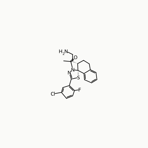 CC(=O)N1N=C(c2cc(Cl)ccc2F)S[C@]12c1ccccc1CC[C@H]2CCN